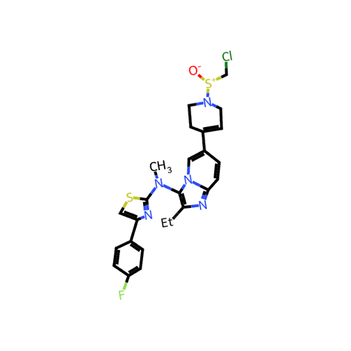 CCc1nc2ccc(C3=CCN([S+]([O-])CCl)CC3)cn2c1N(C)c1nc(-c2ccc(F)cc2)cs1